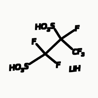 O=S(=O)(O)C(F)(F)C(F)(C(F)(F)F)S(=O)(=O)O.[LiH]